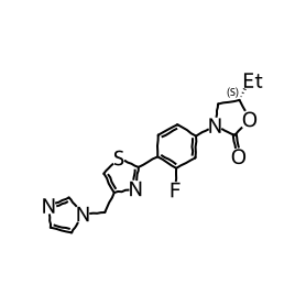 CC[C@H]1CN(c2ccc(-c3nc(Cn4ccnc4)cs3)c(F)c2)C(=O)O1